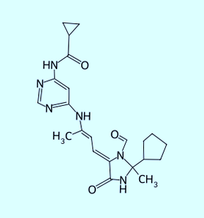 C/C(=C\C=C1\C(=O)NC(C)(C2CCCC2)N1C=O)Nc1cc(NC(=O)C2CC2)ncn1